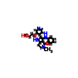 CN1CCc2[nH]c(-c3ccncc3OCCO)c(Nc3ccccc3)c2C1=O